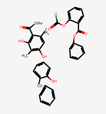 COC(=O)c1c(C)cc(O)c(C)c1O.O=C(Cl)Oc1ccccc1C(=O)Oc1ccccc1.O=C(O)c1ccccc1O.[c]1ccccc1